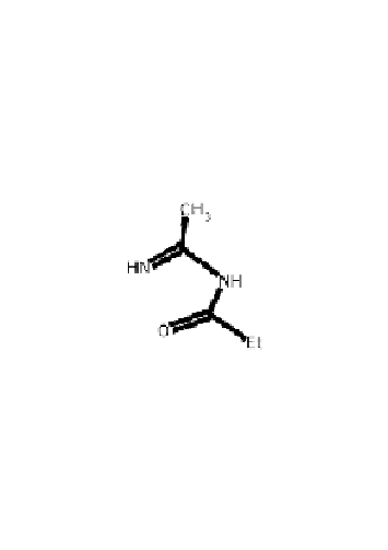 CCC(=O)NC(C)=N